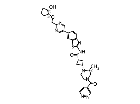 C[C@H]1CN(C(=O)c2ccnnc2)CCN1[C@H]1C[C@@H](C(=O)Nc2nc3ccc(-c4cnc(CO[C@H]5CCC[C@@H]5O)nc4)cc3s2)C1